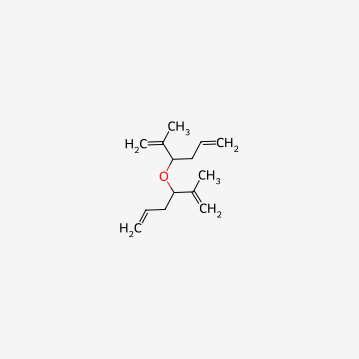 C=CCC(OC(CC=C)C(=C)C)C(=C)C